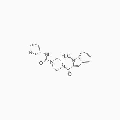 Cn1c(C(=O)N2CCN(C(=O)Nc3cccnc3)CC2)cc2ccccc21